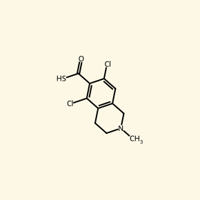 CN1CCc2c(cc(Cl)c(C(=O)S)c2Cl)C1